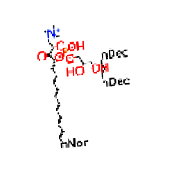 CCCCCCCCCC=CC=CC=CC=CC=CC=CC(=O)C(C[N+](C)(C)C)OP(=O)(O)OCC(O)CO.CCCCCCCCCCCCCCCCCCCCCCC